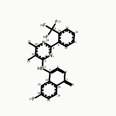 C=C1C=C=C(Nc2nc(-c3ccccc3C(F)(F)F)nc(C)c2C)c2cc(F)ccc21